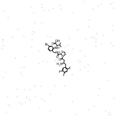 CC(C)C(Nc1cc(Br)ccc1CNC(=O)C1SCCN1C(=O)CC(N)Cc1cc(F)c(F)cc1F)C(=O)O